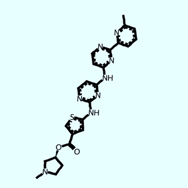 Cc1cccc(-c2nccc(Nc3ccnc(Nc4cc(C(=O)O[C@H]5CCN(C)C5)cs4)n3)n2)n1